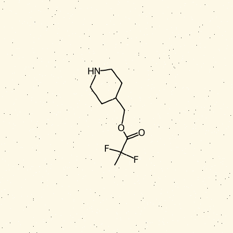 CC(F)(F)C(=O)OCC1CCNCC1